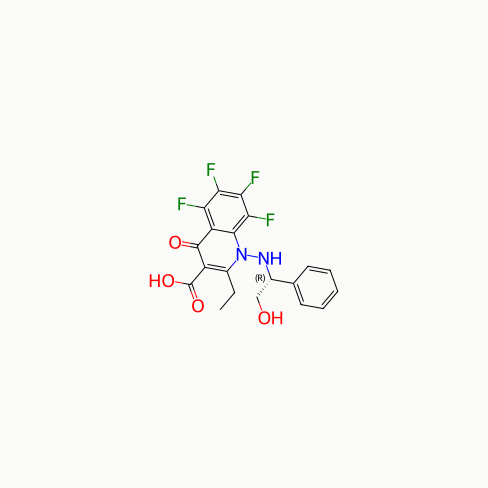 CCc1c(C(=O)O)c(=O)c2c(F)c(F)c(F)c(F)c2n1N[C@@H](CO)c1ccccc1